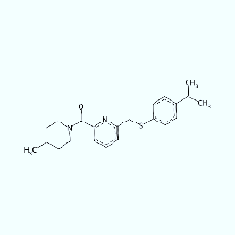 CC1CCN(C(=O)c2cccc(CSc3ccc(C(C)C)cc3)n2)CC1